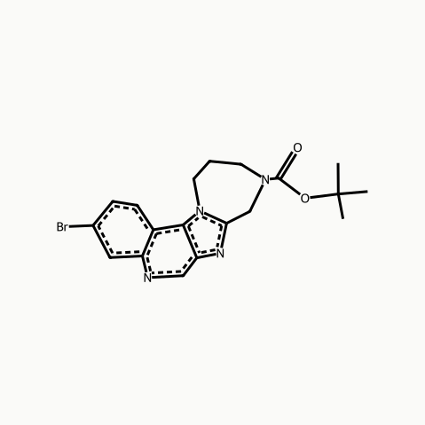 CC(C)(C)OC(=O)N1CCCn2c(nc3cnc4cc(Br)ccc4c32)C1